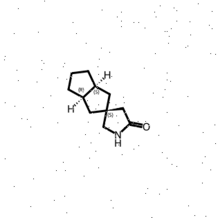 O=C1C[C@@]2(CN1)C[C@H]1CCC[C@H]1C2